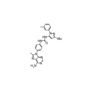 Cc1cccc(-n2nc(C(C)(C)C)cc2NC(=O)Nc2ccc(-n3c(C)nc4c(N)ncnc43)cc2)c1